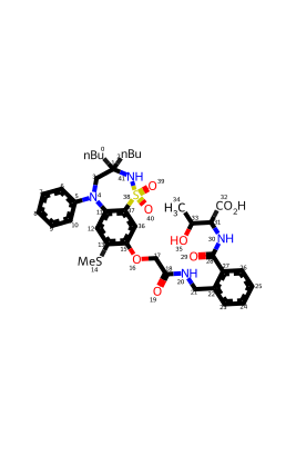 CCCCC1(CCCC)CN(c2ccccc2)c2cc(SC)c(OCC(=O)NCc3ccccc3C(=O)NC(C(=O)O)C(C)O)cc2S(=O)(=O)N1